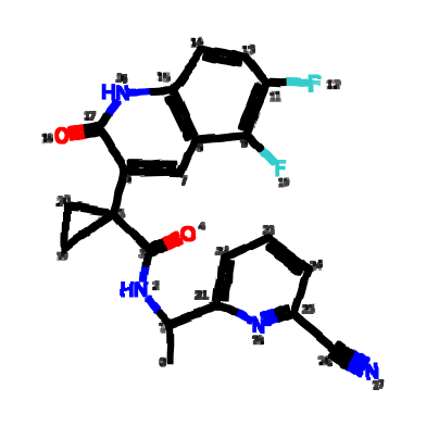 CC(NC(=O)C1(c2cc3c(F)c(F)ccc3[nH]c2=O)CC1)c1cccc(C#N)n1